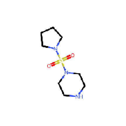 O=S(=O)(N1CCCC1)N1CCNCC1